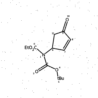 CCOC(=O)N(C(=O)OC(C)(C)C)C1C=CC(=O)C1